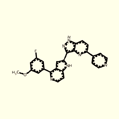 COc1cc(F)cc(-c2nccc3[nH]c(-c4n[nH]c5ccc(-c6ccncc6)nc45)cc23)c1